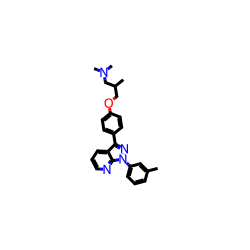 Cc1cccc(-n2nc(-c3ccc(OCC(C)CN(C)C)cc3)c3cccnc32)c1